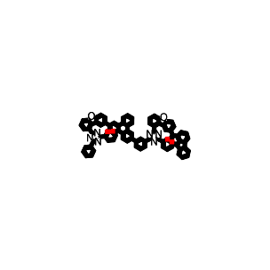 c1ccc(-c2nc(-c3ccccc3)nc(-c3cccc4oc5ccc(-c6ccc7c8ccc(-c9cccc(-c%10nc(-c%11ccccc%11)nc(-c%11cccc%12oc%13ccc(-c%14ccc%15c%16c(cccc%14%16)-c%14ccccc%14-%15)cc%13c%11%12)n%10)c9)cc8c8ccccc8c7c6)cc5c34)n2)cc1